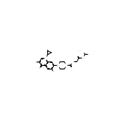 O=CC(O)NC(=O)COC(=O)N1CCN(c2cc3c(cc2F)c(=O)c(C(=O)O)cn3C2CC2)CC1